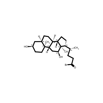 C[C@H](CCC(=O)Br)[C@H]1CC[C@H]2[C@@H]3CC[C@@H]4C[C@H](O)CC[C@]4(C)[C@H]3C[C@H](O)[C@]12C